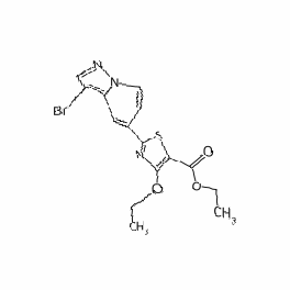 CCOC(=O)c1sc(-c2ccn3ncc(Br)c3c2)nc1OCC